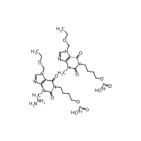 CCOCn1cnc2c1c(=O)n(CCCCO[PH](=O)O)c(=O)n2C.CCOCn1cnc2c1c(=O)n(CCCCO[PH](=O)O)c(=O)n2C.N.N